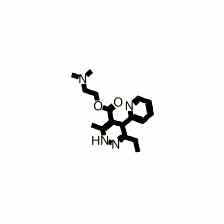 CCC1=NNC(C)=C(C(=O)OCCN(C)C)C1c1ccccn1